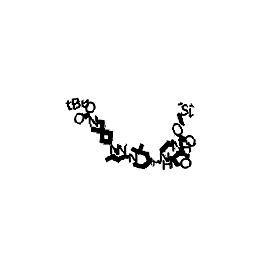 Cc1cc(N2CC[C@@H](CN3CCN(C(=O)OCC[Si](C)(C)C)[C@@H]4COC[C@@H]43)CC2(C)C)nn1C1CC2(C1)CN(C(=O)OC(C)(C)C)C2